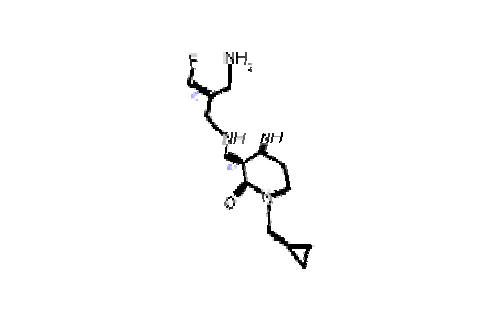 N=C1CCN(CC2CC2)C(=O)/C1=C/NC/C(=C/F)CN